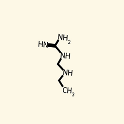 CCNCNC(=N)N